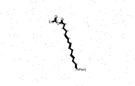 CCCCCC=CCC=CCC=CCC=CCCCC(=O)OC(=O)CC